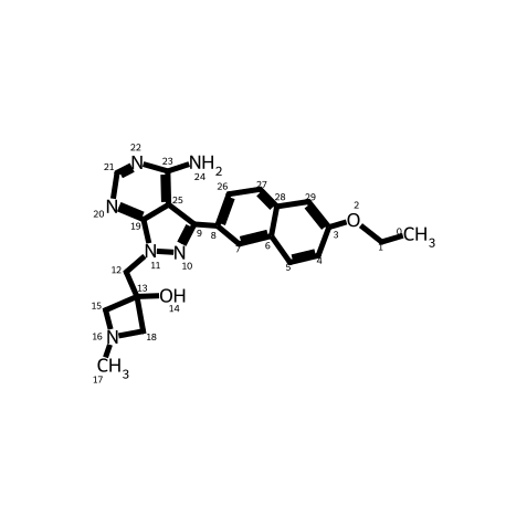 CCOc1ccc2cc(-c3nn(CC4(O)CN(C)C4)c4ncnc(N)c34)ccc2c1